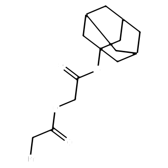 O=C(CBr)OCC(=O)OC12CC3CC(CC(C3)C1)C2